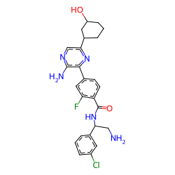 NCC(NC(=O)c1ccc(-c2nc(C3CCCC(O)C3)cnc2N)cc1F)c1cccc(Cl)c1